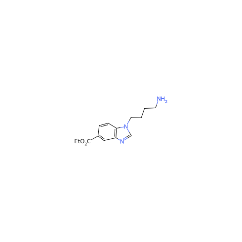 CCOC(=O)c1ccc2c(c1)ncn2CCCCN